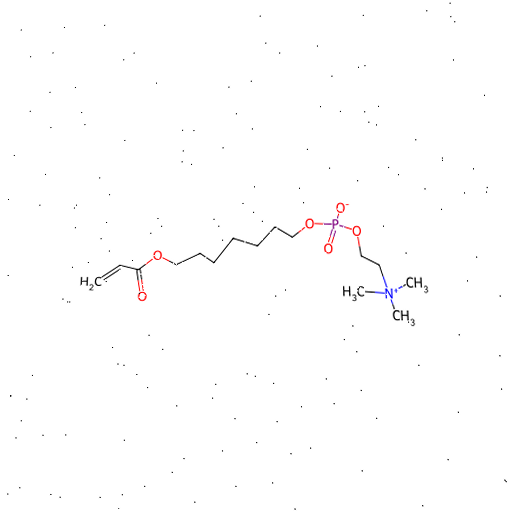 C=CC(=O)OCCCCCCCOP(=O)([O-])OCC[N+](C)(C)C